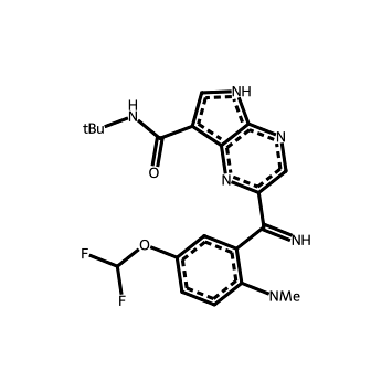 CNc1ccc(OC(F)F)cc1C(=N)c1cnc2[nH]cc(C(=O)NC(C)(C)C)c2n1